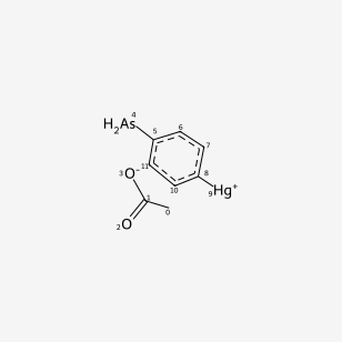 CC(=O)[O-].[AsH2]c1cc[c]([Hg+])cc1